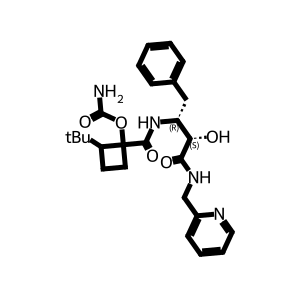 CC(C)(C)C1CCC1(OC(N)=O)C(=O)N[C@H](Cc1ccccc1)[C@H](O)C(=O)NCc1ccccn1